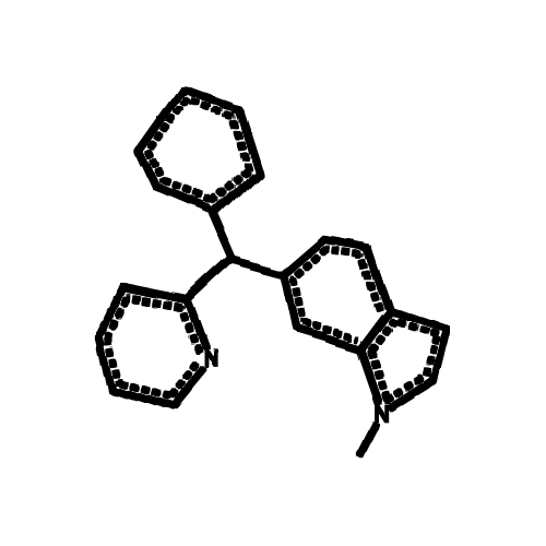 Cn1ccc2ccc(C(c3ccccc3)c3ccccn3)cc21